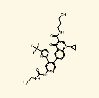 CCNC(=O)Nc1cc(-c2nc(C(F)(F)F)cs2)c(-c2ccc3c(c2)c(=O)c(C(=O)NCCCO)cn3C2CC2)cn1